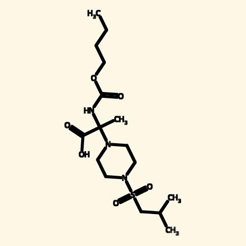 CCCCOC(=O)NC(C)(C(=O)O)N1CCN(S(=O)(=O)CC(C)C)CC1